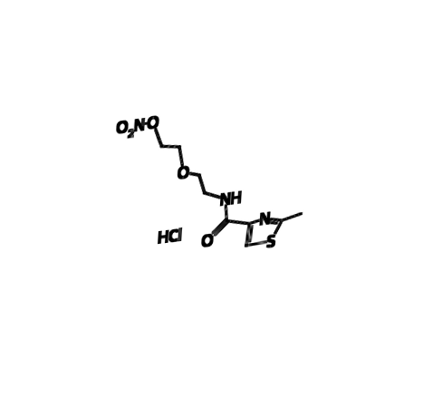 Cc1nc(C(=O)NCCOCCO[N+](=O)[O-])cs1.Cl